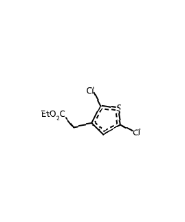 CCOC(=O)Cc1cc(Cl)sc1Cl